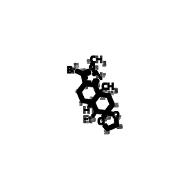 CC[C@H]1[C@@H]2CCc3c(nn(C)c3Br)[C@@]2(C)CCC12OCCO2